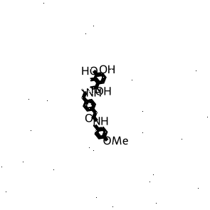 COc1ccc(CNC(=O)Cc2ccc(C[C@@H](C)NC[C@H](O)c3ccc(O)c(O)c3C)cc2)cc1